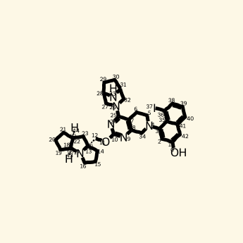 Oc1cc(N2CCc3c(nc(OC[C@]45CCCN4[C@H]4CCC[C@H]4C5)nc3N3CC4CCC(C3)N4)C2)c2c(I)cccc2c1